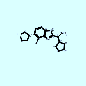 N[C@H](c1nc2c(F)c([C@@H]3[CH]COC3)ccc2[nH]1)C1CCCC1